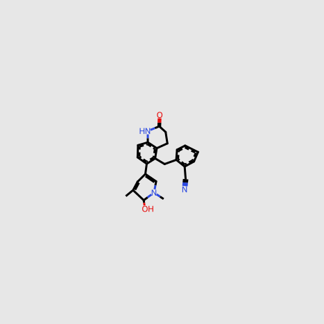 CC1=CC(c2ccc3c(c2Cc2ccccc2C#N)CCC(=O)N3)=CN(C)C1O